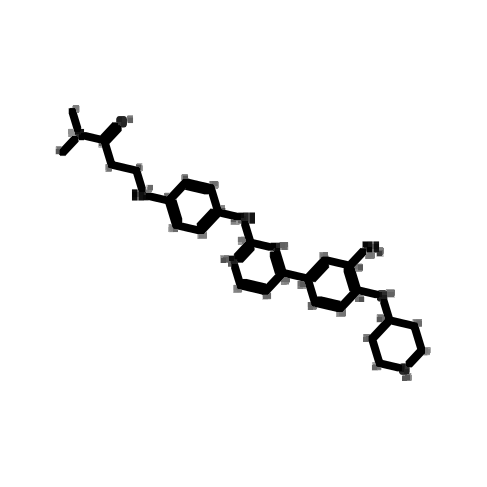 CN(C)C(=O)CCNc1ccc(Nc2nccc(-c3ccc(OC4CCOCC4)c(N)c3)n2)cc1